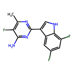 Cc1nc(-c2c[nH]c3c(F)cc(F)cc23)nc(N)c1F